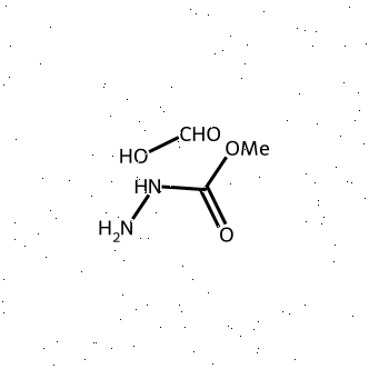 COC(=O)NN.O=CO